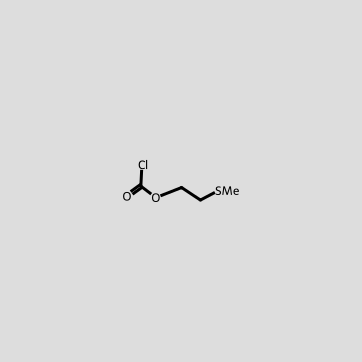 CSCCOC(=O)Cl